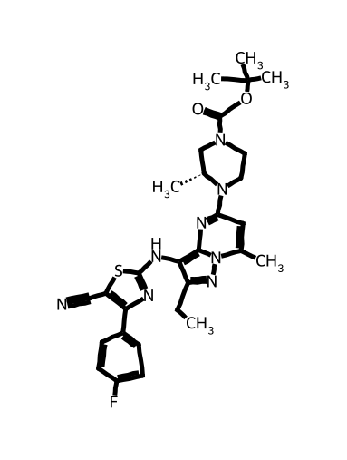 CCc1nn2c(C)cc(N3CCN(C(=O)OC(C)(C)C)C[C@H]3C)nc2c1Nc1nc(-c2ccc(F)cc2)c(C#N)s1